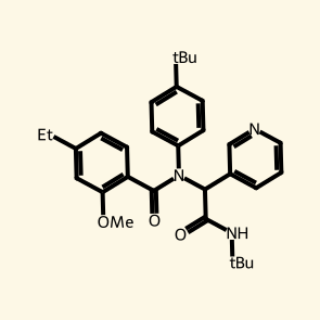 CCc1ccc(C(=O)N(c2ccc(C(C)(C)C)cc2)C(C(=O)NC(C)(C)C)c2cccnc2)c(OC)c1